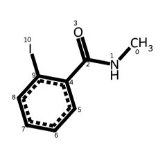 CNC(=O)c1ccccc1I